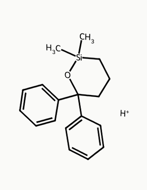 C[Si]1(C)CCCC(c2ccccc2)(c2ccccc2)O1.[H+]